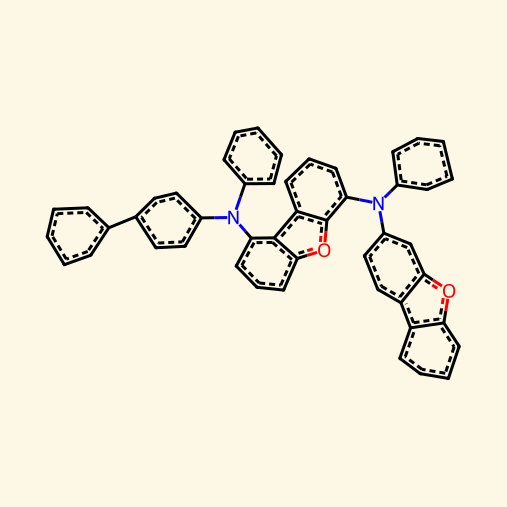 c1ccc(-c2ccc(N(c3ccccc3)c3cccc4oc5c(N(c6ccccc6)c6ccc7c(c6)oc6ccccc67)cccc5c34)cc2)cc1